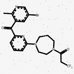 Cc1ncc(Br)cc1C(=O)c1cccc(N2CCCN(C(=O)CC(F)(F)F)CC2)n1